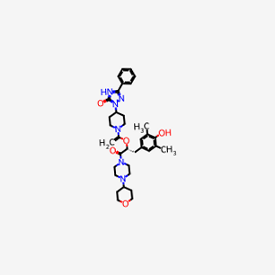 C=C(O[C@H](Cc1cc(C)c(O)c(C)c1)C(=O)N1CCN(C2CCOCC2)CC1)N1CCC(n2nc(-c3ccccc3)[nH]c2=O)CC1